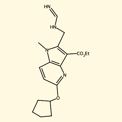 CCOC(=O)c1c(CNC=N)n(C)c2ccc(OC3CCCC3)nc12